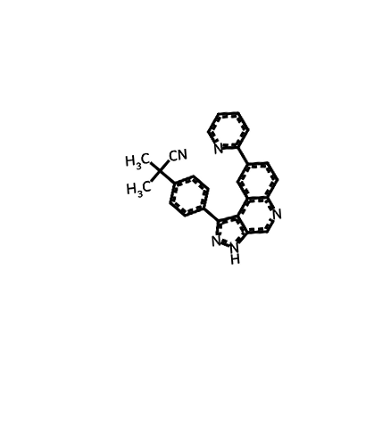 CC(C)(C#N)c1ccc(-c2n[nH]c3cnc4ccc(-c5ccccn5)cc4c23)cc1